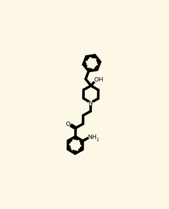 Nc1ccccc1C(=O)CCCN1CCC(O)(Cc2ccccc2)CC1